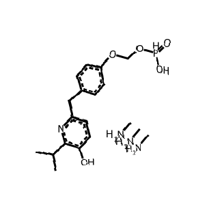 CC(C)c1nc(Cc2ccc(OCO[PH](=O)O)cc2)ccc1O.CN.CN.CN